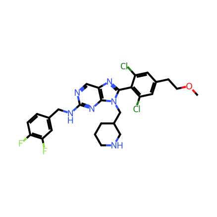 COCCc1cc(Cl)c(-c2nc3cnc(NCc4ccc(F)c(F)c4)nc3n2CC2CCCNC2)c(Cl)c1